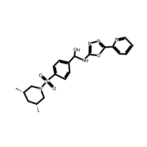 C[C@@H]1C[C@H](C)CN(S(=O)(=O)c2ccc(C(O)Nc3nnc(-c4ccccn4)o3)cc2)C1